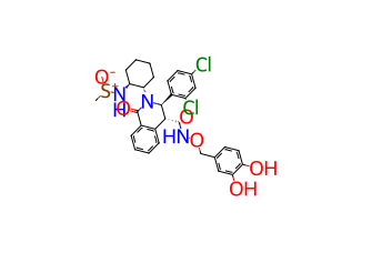 C[S+]([O-])N[C@H]1CCCC[C@@H]1N1C(=O)c2ccccc2[C@@H](C(=O)NOCc2ccc(O)c(O)c2)[C@@H]1c1ccc(Cl)cc1Cl